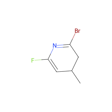 CC1C=C(F)N=C(Br)C1